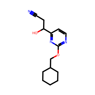 N#CCC(O)c1ccnc(OCC2CCCCC2)n1